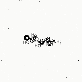 COc1ncnc2c1ncn2[C@H]1C[C@H](O)[C@@H](COS(=O)(=O)NC(=O)c2ccccc2O)O1